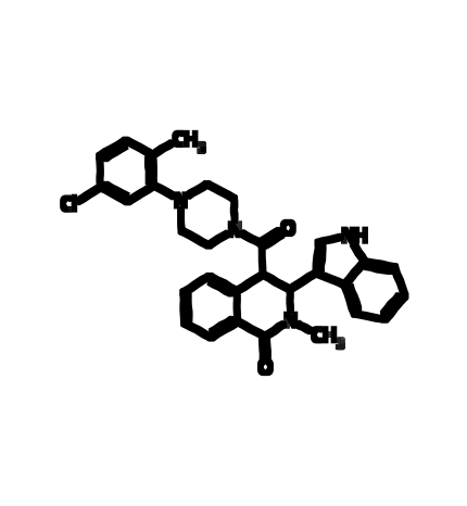 Cc1ccc(Cl)cc1N1CCN(C(=O)C2c3ccccc3C(=O)N(C)C2c2c[nH]c3ccccc23)CC1